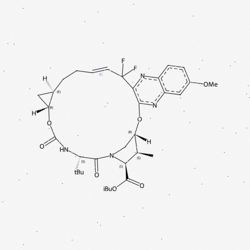 COc1ccc2nc3c(nc2c1)O[C@H]1CN(C(=O)[C@H](C(C)(C)C)NC(=O)O[C@@H]2C[C@H]2CC/C=C/C3(F)F)[C@H](C(=O)OCC(C)C)[C@@H]1C